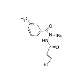 CCC=CC(=O)NN(C(=O)c1cccc(C)c1)C(C)(C)C